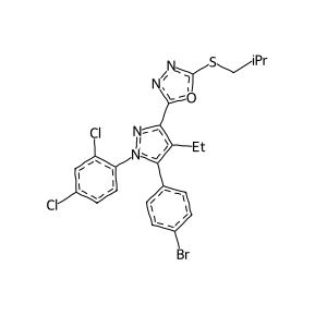 CCc1c(-c2nnc(SCC(C)C)o2)nn(-c2ccc(Cl)cc2Cl)c1-c1ccc(Br)cc1